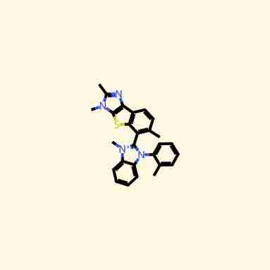 Cc1ccccc1-n1c(-c2c(C)ccc3c2sc2c3nc(C)n2C)[n+](C)c2ccccc21